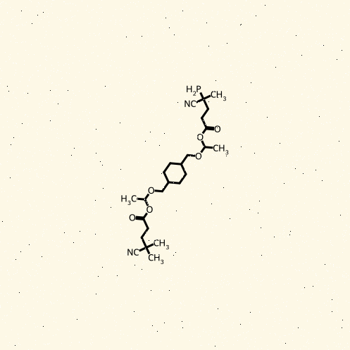 CC(OCC1CCC(COC(C)OC(=O)CCC(C)(P)C#N)CC1)OC(=O)CCC(C)(C)C#N